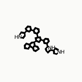 C1=CC(c2cccc(-c3cc(-c4cccc(-c5cccc(C6=CCNC=C6)c5)c4)cc(-c4cc5ccccc5c5ccccc45)c3)c2)NC(C2=CCNC=C2)=C1